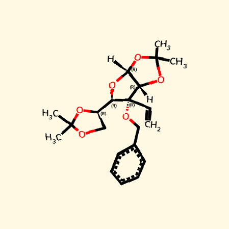 C=C[C@@]1(OCc2ccccc2)[C@@H]([C@H]2COC(C)(C)O2)O[C@@H]2OC(C)(C)O[C@@H]21